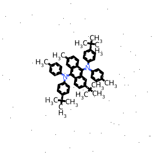 Cc1ccc(N(c2ccc(C(C)(C)C)cc2)c2c3ccc(C(C)(C)C)cc3c(N(c3ccc(C)cc3)c3ccc(C(C)(C)C)cc3)c3ccc(C)cc23)cc1